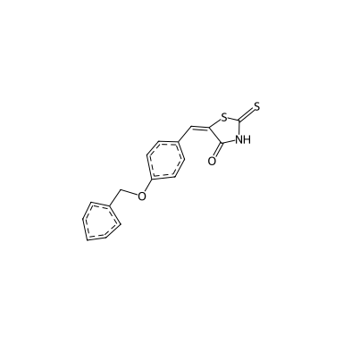 O=C1NC(=S)SC1=Cc1ccc(OCc2ccccc2)cc1